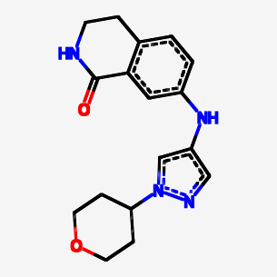 O=C1NCCc2ccc(Nc3cnn(C4CCOCC4)c3)cc21